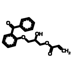 C=CC(=O)OCC(O)COc1ccccc1C(=O)c1ccccc1